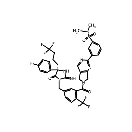 CN(C)S(=O)(=O)c1cccc(-c2ncc3c(n2)CN(C(=O)c2cc(CN4C(=N)N[C@](CCCC(F)(F)F)(c5ccc(F)cc5)C4=O)ccc2C(F)(F)F)C3)c1